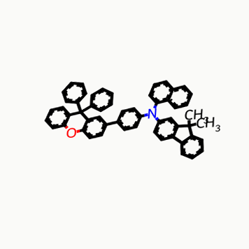 CC1(C)c2ccccc2-c2ccc(N(c3ccc(-c4ccc5c(c4)C(c4ccccc4)(c4ccccc4)c4ccccc4O5)cc3)c3cccc4ccccc34)cc21